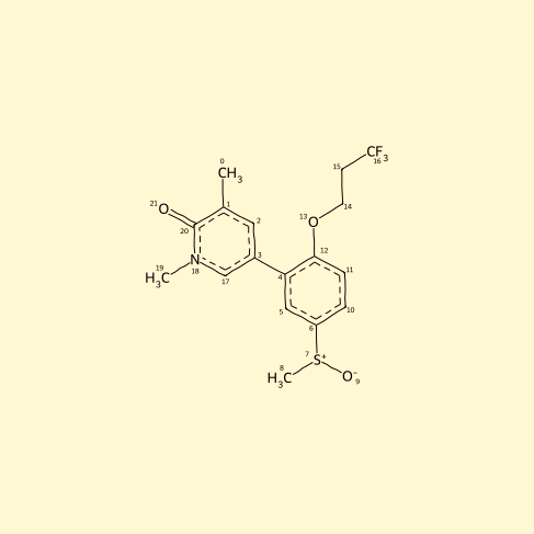 Cc1cc(-c2cc([S+](C)[O-])ccc2OCCC(F)(F)F)cn(C)c1=O